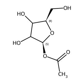 CC(=O)O[C@@H]1O[C@H](CO)C(O)C1O